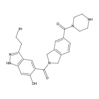 CC(C)CCc1n[nH]c2cc(O)c(C(=O)N3Cc4ccc(C(=O)N5CCNCC5)cc4C3)cc12